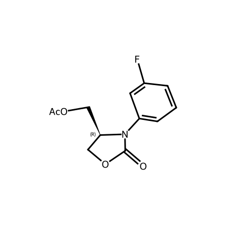 CC(=O)OC[C@@H]1COC(=O)N1c1cccc(F)c1